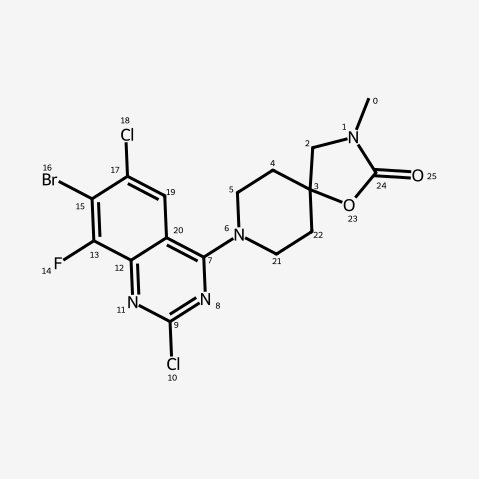 CN1CC2(CCN(c3nc(Cl)nc4c(F)c(Br)c(Cl)cc34)CC2)OC1=O